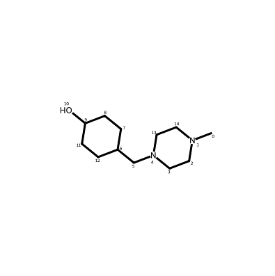 CN1CCN(CC2CCC(O)CC2)CC1